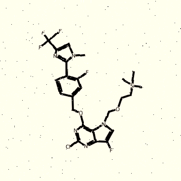 Cn1cc(C(F)(F)F)nc1-c1ccc(COc2nc(Cl)nc3c(F)cn(COCC[Si](C)(C)C)c23)cc1F